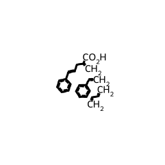 C=C(CC=Cc1ccccc1)C(=O)O.C=CC=C.C=Cc1ccccc1